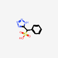 O=S(=O)(O)C(c1ccccc1)c1nnn[nH]1